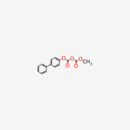 COC(=O)OC(=O)Oc1ccc(-c2ccccc2)cc1